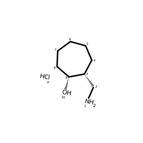 Cl.NC[C@H]1CCCCC[C@H]1O